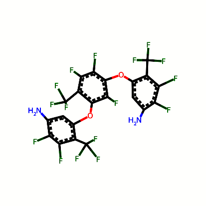 Nc1cc(Oc2c(F)c(F)c(C(F)(F)F)c(Oc3cc(N)c(F)c(F)c3C(F)(F)F)c2F)c(C(F)(F)F)c(F)c1F